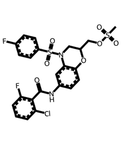 CS(=O)(=O)OCC1CN(S(=O)(=O)c2ccc(F)cc2)c2cc(NC(=O)c3c(F)cccc3Cl)ccc2O1